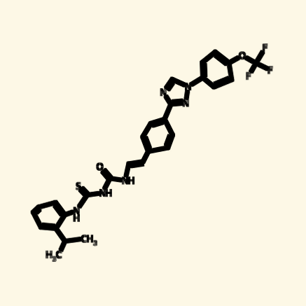 CC(C)c1ccccc1NC(=S)NC(=O)N/C=C/c1ccc(-c2ncn(-c3ccc(OC(F)(F)F)cc3)n2)cc1